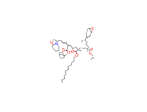 CCCCCCCCCCCCOC(=O)C(C)(CCCC(CCCC(CC)N1CCCCCC1=O)C(=O)OC1CC2CCC1(C)C2)CCCC(C)(CCCC(CC)C1CCC2OC2C1)C(=O)OCC(C)C